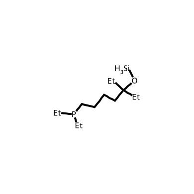 CCP(CC)CCCCC(CC)(CC)O[SiH3]